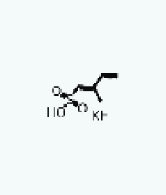 C=C/C(C)=C/S(=O)(=O)O.[KH]